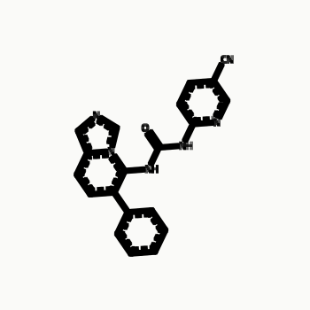 N#Cc1ccc(NC(=O)Nc2c(-c3ccccc3)ccc3cncn23)nc1